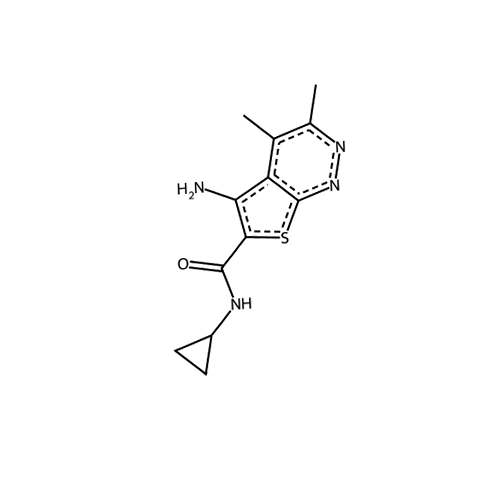 Cc1nnc2sc(C(=O)NC3CC3)c(N)c2c1C